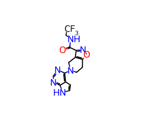 O=C(NCC(F)(F)F)c1noc2c1CN(c1ncnc3[nH]ccc13)CC2